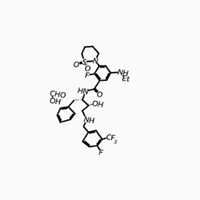 CCNc1cc(C(=O)N[C@@H](Cc2ccccc2)[C@H](O)CNCc2ccc(F)c(C(F)(F)F)c2)c(F)c(N2CCCCS2(=O)=O)c1.O=CO